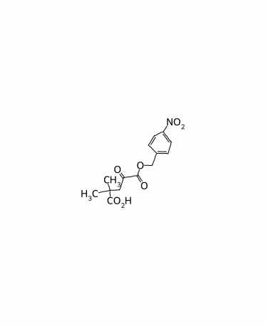 CC(C)(CC(=O)C(=O)OCc1ccc([N+](=O)[O-])cc1)C(=O)O